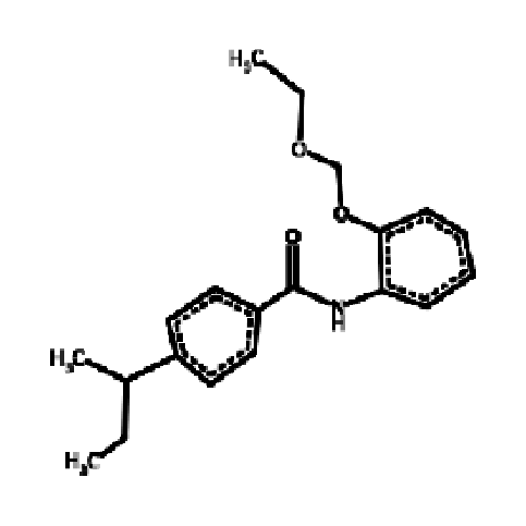 CCOCOc1ccccc1NC(=O)c1ccc(C(C)CC)cc1